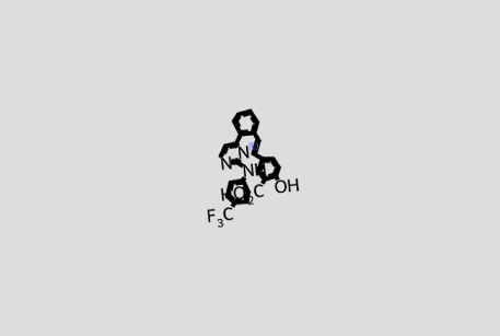 O=C(O)c1cc(/C=C/c2ccccc2-c2ccnc(Nc3ccc(C(F)(F)F)cc3)n2)ccc1O